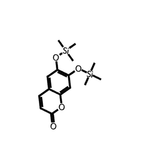 C[Si](C)(C)Oc1cc2ccc(=O)oc2cc1O[Si](C)(C)C